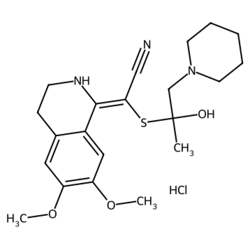 COc1cc2c(cc1OC)C(=C(C#N)SC(C)(O)CN1CCCCC1)NCC2.Cl